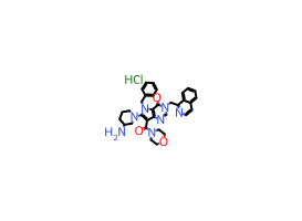 Cl.NC1CCCN(c2c(C(=O)N3CCOCC3)c3ncn(Cc4nccc5ccccc45)c(=O)c3n2Cc2ccccc2)C1